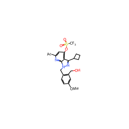 COc1ccc(Cn2nc(C3CCC3)c3c(OS(=O)(=O)C(F)(F)F)cc(C(C)=O)nc32)c(CO)c1